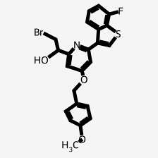 COc1ccc(COc2cc(-c3csc4c(F)cccc34)nc(C(O)CBr)c2)cc1